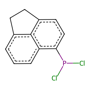 ClP(Cl)c1ccc2c3c(cccc13)CC2